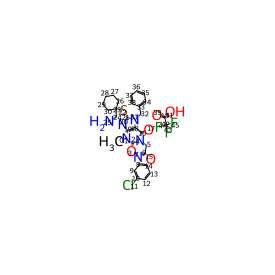 Cn1c(=O)n(Cc2nc3cc(Cl)ccc3o2)c(=O)c2c1nc(SC1(CN)CCCCC1)n2Cc1ccccc1.O=C(O)C(F)(F)F